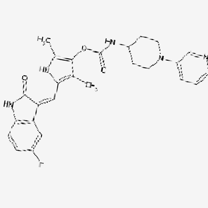 Cc1[nH]c(/C=C2\C(=O)Nc3ccc(F)cc32)c(C)c1OC(=O)NC1CCN(c2cccnc2)CC1